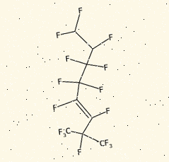 FC(=C(F)C(F)(C(F)(F)F)C(F)(F)F)C(F)(F)C(F)(F)C(F)C(F)F